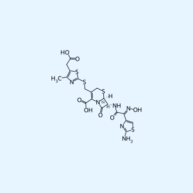 Cc1nc(SCC2=C(C(=O)O)N3C(=O)[C@@H](NC(=O)C(=NO)c4csc(N)n4)[C@@H]3SC2)sc1CC(=O)O